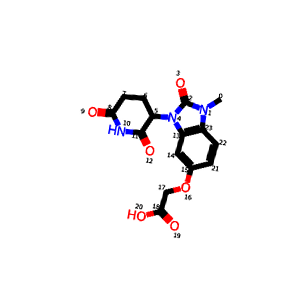 Cn1c(=O)n(C2CCC(=O)NC2=O)c2cc(OCC(=O)O)ccc21